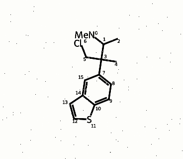 CNC(C)C(C)(CCl)c1ccc2sccc2c1